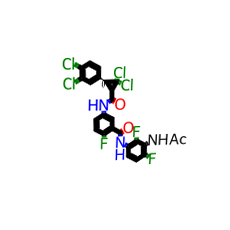 CC(=O)Nc1c(F)ccc(NC(=O)c2cc(NC(=O)C3[C@H](c4ccc(Cl)c(Cl)c4)C3(Cl)Cl)ccc2F)c1F